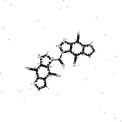 O=C(n1s[nH]c2c(=O)c3sccc3c(=O)c1=2)n1s[nH]c2c(=O)c3sccc3c(=O)c1=2